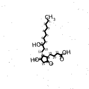 CCCCCCCCC(O)CC[C@H]1[C@H](O)CC(=O)[C@@H]1CCCC(=O)O